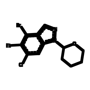 CCc1c(Cl)cc2c(cnn2C2CCCCO2)c1Br